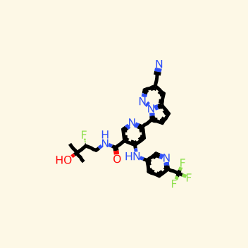 CC(C)(O)[C@H](F)CNC(=O)c1cnc(-c2ccc3cc(C#N)cnn23)cc1Nc1ccc(C(F)(F)F)nc1